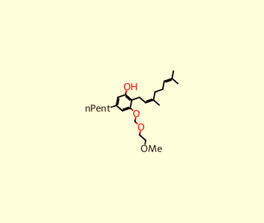 CCCCCc1cc(O)c(CC=C(C)CCC=C(C)C)c(OCOCCOC)c1